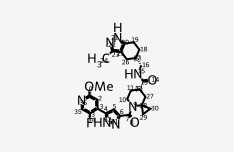 COc1cc(-c2cc(C(=O)N3CC[C@H](C(=O)NC[C@H]4CCc5[nH]nc(C)c5C4)CC34CC4)n[nH]2)c(F)cn1